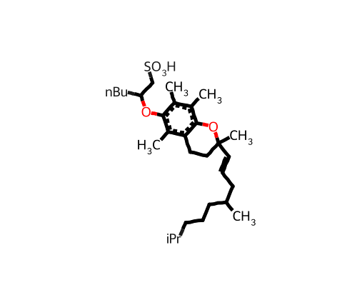 CCCCC(CS(=O)(=O)O)Oc1c(C)c(C)c2c(c1C)CCC(C)(C=CCC(C)CCCC(C)C)O2